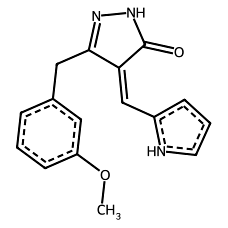 COc1cccc(CC2=NNC(=O)C2=Cc2ccc[nH]2)c1